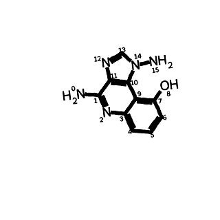 Nc1nc2cccc(O)c2c2c1ncn2N